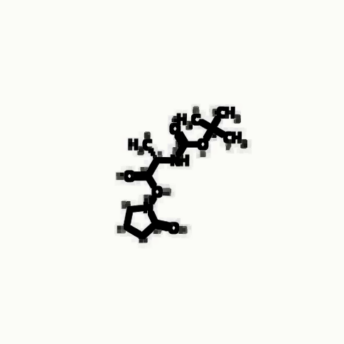 C[C@H](NC(=O)OC(C)(C)C)C(=O)ON1CCCC1=O